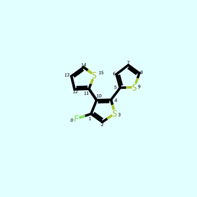 Fc1csc(-c2cccs2)c1-c1cccs1